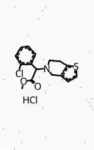 COC(=O)C(c1ccccc1Cl)N1CCc2sccc2C1.Cl